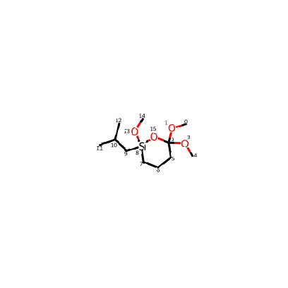 COC1(OC)CCC[Si](CC(C)C)(OC)O1